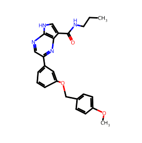 CCCNC(=O)c1c[nH]c2ncc(-c3cccc(OCc4ccc(OC)cc4)c3)nc12